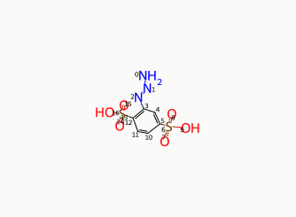 NN=Nc1cc(S(=O)(=O)O)ccc1S(=O)(=O)O